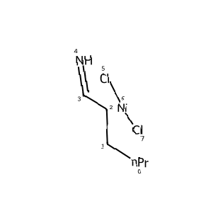 CCCCCC=N.[Cl][Ni][Cl]